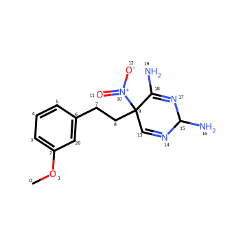 COc1cccc(CCC2([N+](=O)[O-])C=NC(N)N=C2N)c1